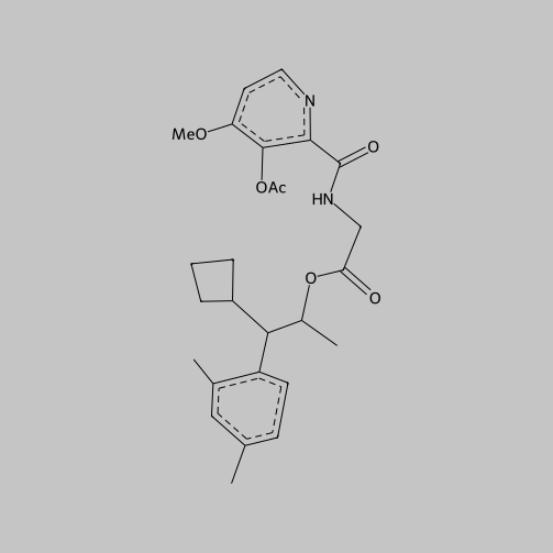 COc1ccnc(C(=O)NCC(=O)OC(C)C(c2ccc(C)cc2C)C2CCC2)c1OC(C)=O